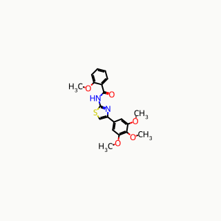 COc1ccccc1C(=O)Nc1nc(-c2cc(OC)c(OC)c(OC)c2)cs1